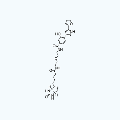 O=C(CCCCC1SC[C@@H]2NC(=O)N[C@H]12)NCCOCCNC(=O)c1ccc(-c2cc(-c3ccco3)[nH]n2)c(O)c1